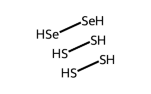 SS.SS.[SeH][SeH]